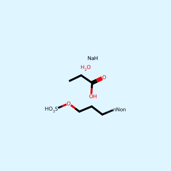 CCC(=O)O.CCCCCCCCCCCCOS(=O)(=O)O.O.[NaH]